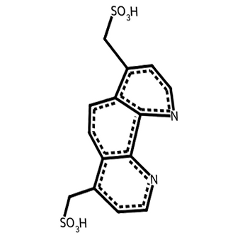 O=S(=O)(O)Cc1ccnc2c1ccc1c(CS(=O)(=O)O)ccnc12